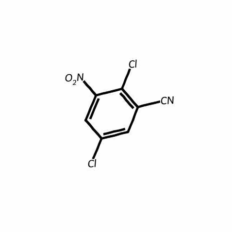 N#Cc1cc(Cl)cc([N+](=O)[O-])c1Cl